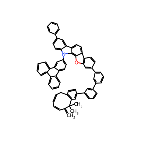 C=C1/C=C\C=C/Cc2ccc(-c3cccc(-c4cccc(-c5ccc6c(c5)oc5c6ccc6c7cc(-c8ccccc8)ccc7n(-c7ccc8c9ccccc9c9ccccc9c8c7)c65)c4)c3)cc2C1(C)C